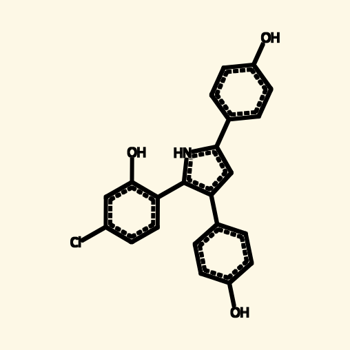 Oc1ccc(-c2cc(-c3ccc(O)cc3)c(-c3ccc(Cl)cc3O)[nH]2)cc1